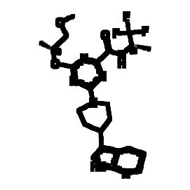 COC[C@@H](C)Oc1nc(C(=O)N[C@@H](C)C(F)(F)F)nc(N2CCC(c3c[nH]c4ncccc34)CC2)n1